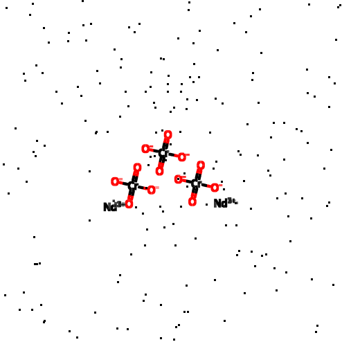 [Nd+3].[Nd+3].[O]=[Cr](=[O])([O-])[O-].[O]=[Cr](=[O])([O-])[O-].[O]=[Cr](=[O])([O-])[O-]